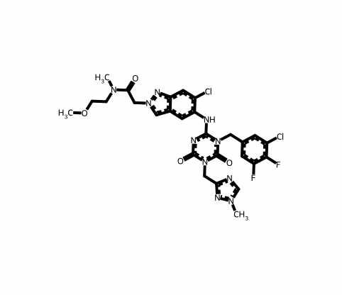 COCCN(C)C(=O)Cn1cc2cc(Nc3nc(=O)n(Cc4ncn(C)n4)c(=O)n3Cc3cc(F)c(F)c(Cl)c3)c(Cl)cc2n1